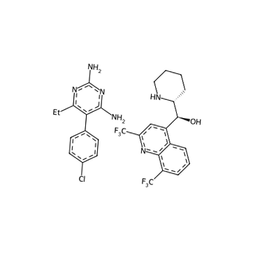 CCc1nc(N)nc(N)c1-c1ccc(Cl)cc1.O[C@@H](c1cc(C(F)(F)F)nc2c(C(F)(F)F)cccc12)[C@H]1CCCCN1